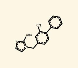 CCCCc1nccn1Cc1ccc(-c2ccccc2)c(C#N)c1